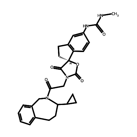 CNC(=O)Nc1ccc2c(c1)CC[C@@]21OC(=O)N(CC(=O)N2Cc3ccccc3CCC2C2CC2)C1=O